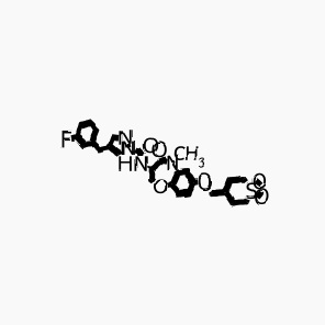 CN1C(=O)[C@@H](NC(=O)n2cc(Cc3cccc(F)c3)cn2)COc2ccc(OCC3CCS(=O)(=O)CC3)cc21